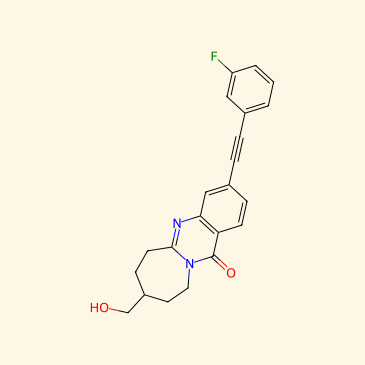 O=c1c2ccc(C#Cc3cccc(F)c3)cc2nc2n1CCC(CO)CC2